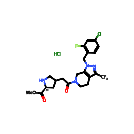 COC(=O)[C@@H]1CC(CC(=O)N2CCc3c(C(F)(F)F)nn(Cc4ccc(Cl)cc4F)c3C2)CN1.Cl